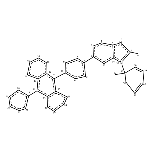 Cc1nc2ccc(-c3ccc(-c4c5ccccc5c(-c5ccccc5)c5ccccc45)cc3)cc2n1C1(C)C=CC=CC1